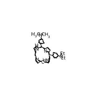 CCN(CC)c1ccc(-c2c3nc(c(-c4ccc(N(C)C)cc4)c4ccc(cc5nc(cc6ccc2[nH]6)C=C5)[nH]4)C=C3)cc1